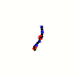 Cc1ccc(-c2ccc(-c3ccc(-c4ccc(-c5ccc6c(c5)C5(c7ccccc7Oc7ccc(Cc8ccc(-c9ccc(-c%10ccc(-c%11ccc%12c(c%11)C%11(c%13ccccc%13Sc%13ccccc%13%11)c%11ccccc%11-%12)nn%10)cc9)c(C)n8)cc75)c5ccccc5-6)cc4)nn3)cc2)c(C)n1